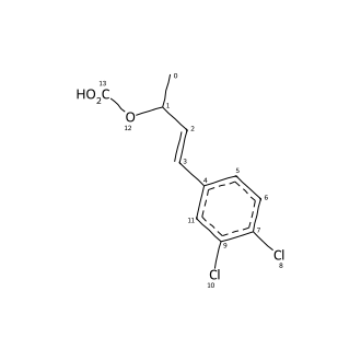 CC(C=Cc1ccc(Cl)c(Cl)c1)OC(=O)O